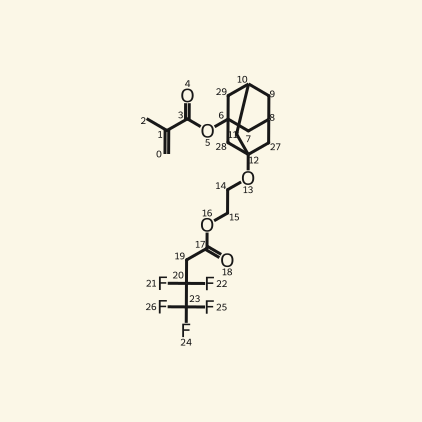 C=C(C)C(=O)OC12CC3CC(CC(OCCOC(=O)CC(F)(F)C(F)(F)F)(C3)C1)C2